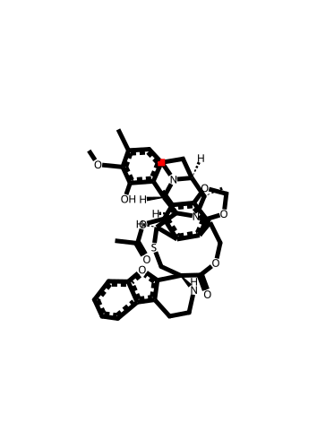 COc1c(C)cc2c(c1O)[C@H]1[C@@H]3[C@@H]4SC[C@]5(NCCc6c5oc5ccccc65)C(=O)OCC(c5c6c(c(C)c(OC(C)=O)c54)OCO6)N3[C@@H](C)[C@H](C2)N1C